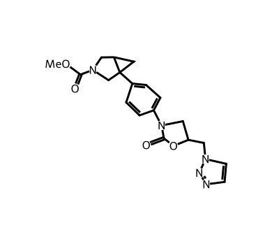 COC(=O)N1CC2CC2(c2ccc(N3CC(Cn4ccnn4)OC3=O)cc2)C1